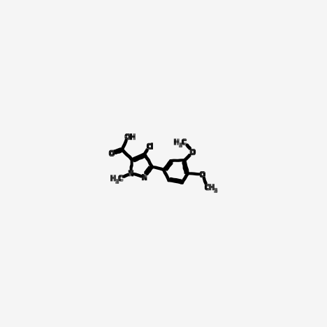 COc1ccc(-c2nn(C)c(C(=O)O)c2Cl)cc1OC